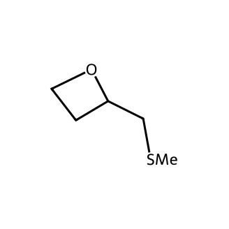 CSCC1CCO1